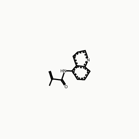 C=C(C)C(=O)Nc1cccc2ncccc12